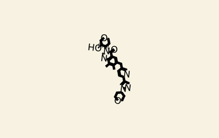 Cc1c(Cc2ccc(-c3cnn(C4CCOCC4)c3)nc2)cc2c(=O)n([C@H]3CCOC[C@@H]3O)cnc2c1C